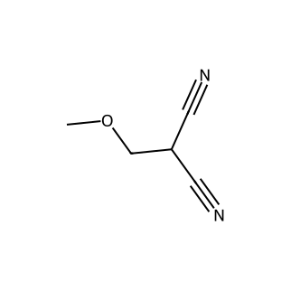 COCC(C#N)C#N